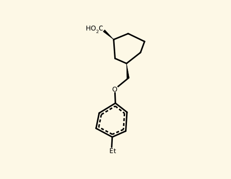 CCc1ccc(OC[C@@H]2CCC[C@H](C(=O)O)C2)cc1